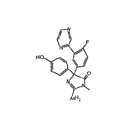 CN1C(=O)C(c2ccc(O)cc2)(c2ccc(F)c(-c3cnccn3)c2)N=C1[AsH2]